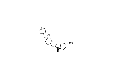 COc1ccc2c(c1)CC(CN1CCC(O)(Cc3ccc(C)cc3)CC1)N2